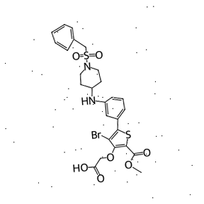 COC(=O)c1sc(-c2cccc(NC3CCN(S(=O)(=O)Cc4ccccc4)CC3)c2)c(Br)c1OCC(=O)O